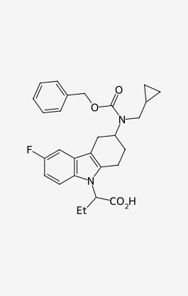 CCC(C(=O)O)n1c2c(c3cc(F)ccc31)CC(N(CC1CC1)C(=O)OCc1ccccc1)CC2